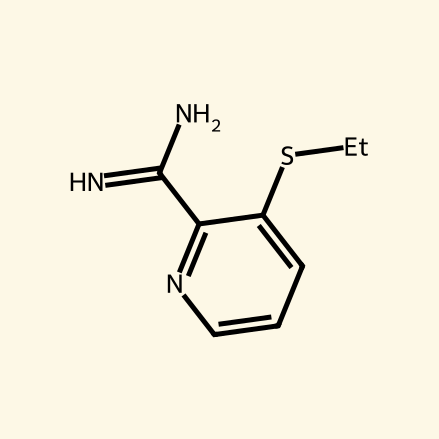 CCSc1cccnc1C(=N)N